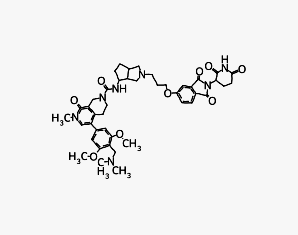 COc1cc(-c2cn(C)c(=O)c3c2CCN(C(=O)NC2CCC4CN(CCCOc5ccc6c(c5)C(=O)N(C5CCC(=O)NC5=O)C6=O)CC42)C3)cc(OC)c1CN(C)C